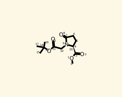 COC(=O)[C@@H]1CCC(=O)N1CC(=O)OC(C)(C)C